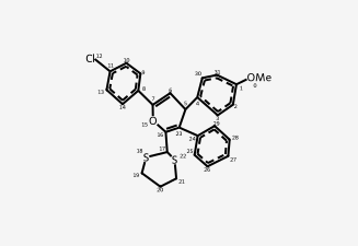 COc1ccc(C2C=C(c3ccc(Cl)cc3)OC(C3SCCCS3)=C2c2ccccc2)cc1